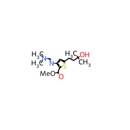 COC(=O)c1sc(CCC(C)(C)O)cc1N=CN(C)C